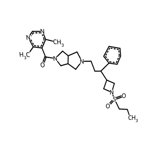 CCCS(=O)(=O)N1CC(C(CCN2CC3CN(C(=O)c4c(C)ncnc4C)CC3C2)c2ccccc2)C1